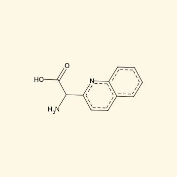 NC(C(=O)O)c1ccc2ccccc2n1